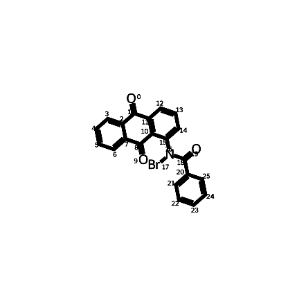 O=C1c2ccccc2C(=O)c2c1cccc2N(Br)C(=O)c1ccccc1